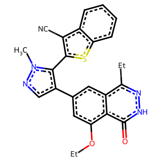 CCOc1cc(-c2cnn(C)c2-c2sc3ccccc3c2C#N)cc2c(CC)n[nH]c(=O)c12